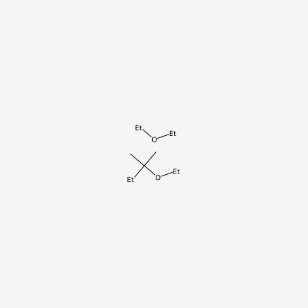 CCOC(C)(C)CC.CCOCC